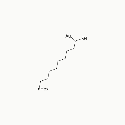 CCCCCCCCCCCCCC[CH](S)[Au]